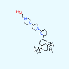 CC1(C)CCC(C)(C)c2cc(-c3cccc(N4CCC(N5CCN(CCO)CC5)CC4)n3)ccc21